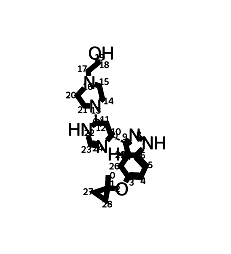 CC1(OC2=CC=C3NN=C([C@H]4C[C@@H](N5CCN(CCO)CC5)NC=N4)[C@H]3C2)CC1